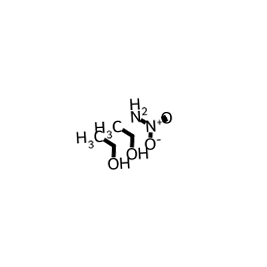 CCO.CCO.N[N+](=O)[O-]